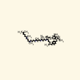 COCCOc1nc(N)c2c(n1)N(Cc1ccc(CN(C)CCC/C(C)=C/CC/C(C)=C/CC/C(C)=C/CC/C=C(\C)CC/C=C(\C)CCC=C(C)C)cc1)C(OC)N2